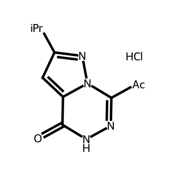 CC(=O)c1n[nH]c(=O)c2cc(C(C)C)nn12.Cl